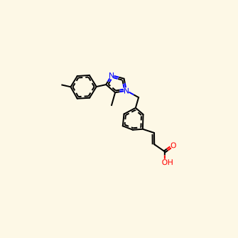 Cc1ccc(-c2ncn(Cc3cccc(/C=C/C(=O)O)c3)c2C)cc1